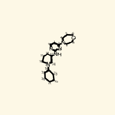 c1cc(N2CCCOCC2)nc(NC2CCCN(C3CCCCC3)C2)n1